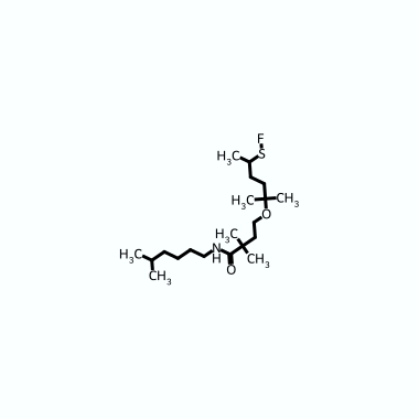 CC(C)CCCCNC(=O)C(C)(C)CCOC(C)(C)CCC(C)SF